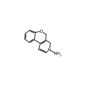 NN1C=CC2=C(COc3ccccc32)C1